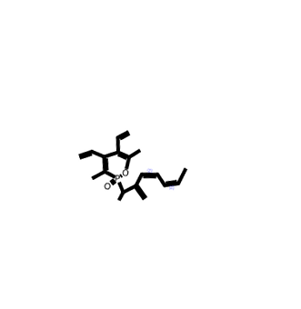 C=CC1=C(C)OP(=O)(C(C)C(=C)/C=C\C=C/C)C(C)=C1C=C